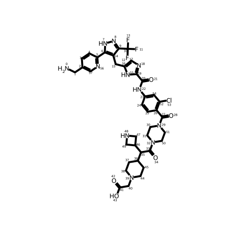 NCc1ccc(-c2[nH]nc(C(F)(F)F)c2Cc2cnc(C(=O)Nc3ccc(C(=O)N4CCN(C(=O)C(C5CCN(CC(=O)O)CC5)C5CNC5)CC4)c(Cl)c3)[nH]2)nc1